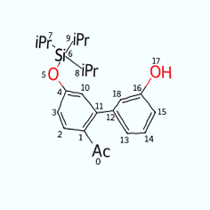 CC(=O)c1ccc(O[Si](C(C)C)(C(C)C)C(C)C)cc1-c1cccc(O)c1